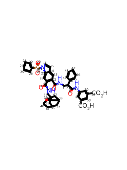 O=C(O)c1cc(NC(=O)C(CNC(=O)c2cc3ccn(S(=O)(=O)c4ccccc4)c3cc2C(=O)NCC23CC4CC(CC(C4)C2)C3)c2ccccc2)cc(C(=O)O)c1